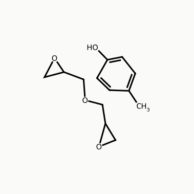 C(OCC1CO1)C1CO1.Cc1ccc(O)cc1